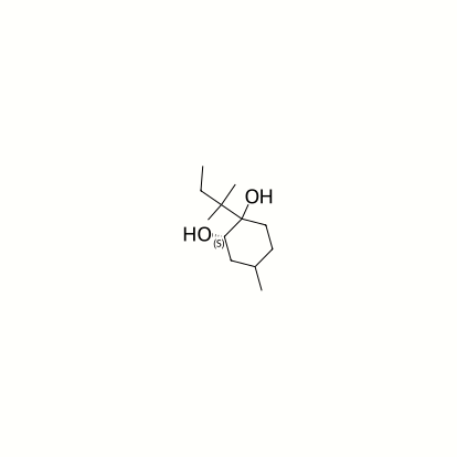 CCC(C)(C)C1(O)CCC(C)C[C@@H]1O